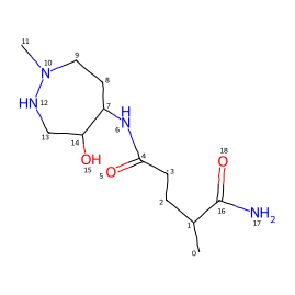 CC(C[CH]C(=O)NC1CCN(C)NCC1O)C(N)=O